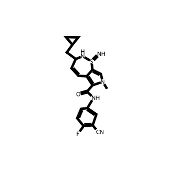 Cn1cc2c(c1C(=O)Nc1ccc(F)c(C#N)c1)C=CC(CC1CC1)NS2=N